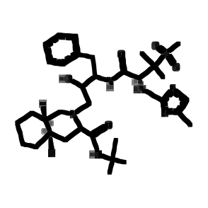 Cc1csc(N[C@H](C(=O)NC(Cc2ccccc2)C(O)CN2C[C@H]3CCCC[C@H]3CC2C(=O)NC(C)(C)C)C(C)(C)S(C)(=O)=O)n1